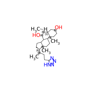 CC[C@H]1[C@@H](O)C2C3CC[C@H]([C@H](C)CCc4nnn[nH]4)[C@@]3(C)CCC2[C@@]2(C)CC[C@@H](O)C[C@@H]12